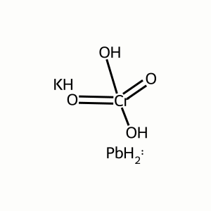 [KH].[O]=[Cr](=[O])([OH])[OH].[PbH2]